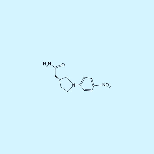 NC(=O)C[C@@H]1CCN(c2ccc([N+](=O)[O-])cc2)C1